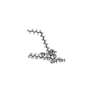 CCCCCC/C=C\CCCCCCCCCC(=O)NC1[C@H](OC)O[C@H](CCO)[C@@H](O)[C@@H]1OCC[C@@H](CCCCCCC)OC